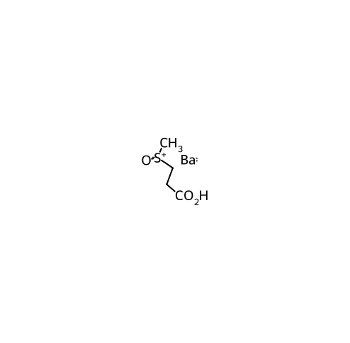 C[S+]([O-])CCC(=O)O.[Ba]